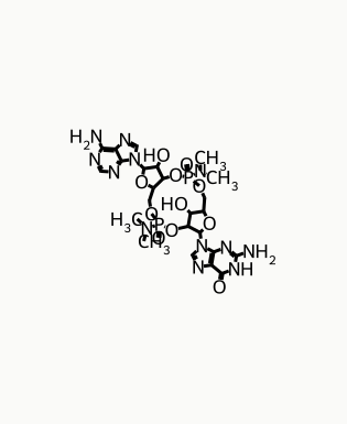 CN(C)P1(=O)OCC2OC(n3cnc4c(=O)[nH]c(N)nc43)C(OP(=O)(N(C)C)OCC3OC(n4cnc5c(N)ncnc54)C(O)C3O1)C2O